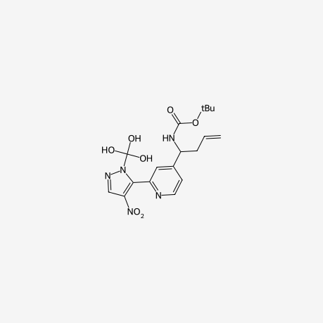 C=CCC(NC(=O)OC(C)(C)C)c1ccnc(-c2c([N+](=O)[O-])cnn2C(O)(O)O)c1